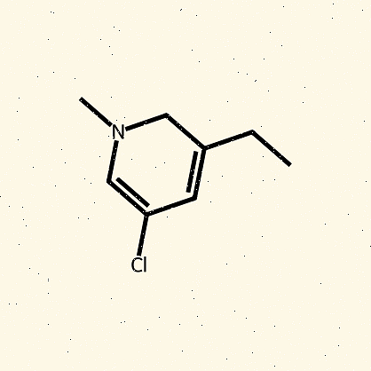 CCC1=CC(Cl)=CN(C)C1